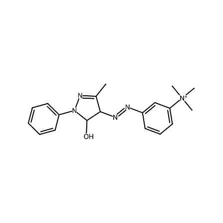 CC1=NN(c2ccccc2)C(O)C1/N=N/c1cccc([N+](C)(C)C)c1